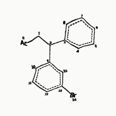 CC(=O)CC(c1ccccc1)c1cccc(Br)c1